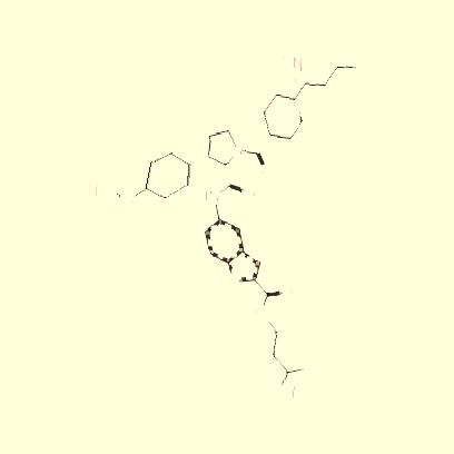 COC1CCC([C@@H]2CCN(C(=O)[C@H]3CC[C@H]([C@H](N)CCF)CC3)[C@@H]2C(=O)Nc2ccc3oc(C(=O)OCCC(C)C)cc3c2)CC1